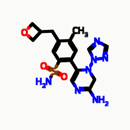 Cc1cc(C2=CN=C(N)CN2n2cncn2)c(S(N)(=O)=O)cc1CC1COC1